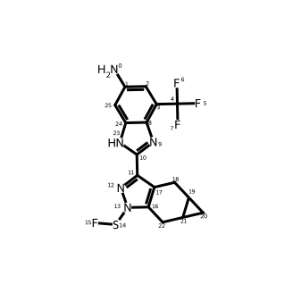 Nc1cc(C(F)(F)F)c2nc(-c3nn(SF)c4c3CC3CC3C4)[nH]c2c1